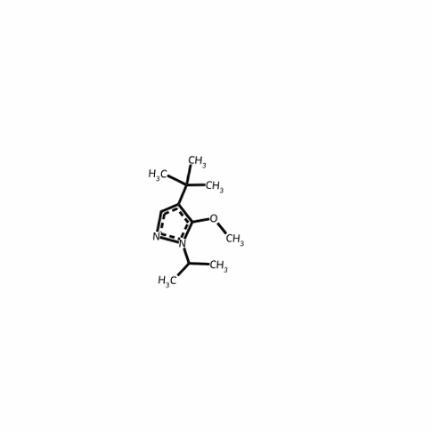 COc1c(C(C)(C)C)cnn1C(C)C